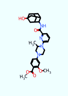 COC(=O)c1ccc(N2CCN(c3cccc(C(=O)NC4C5CC6CC4CC(O)(C6)C5)n3)C(C)C2)cc1OC